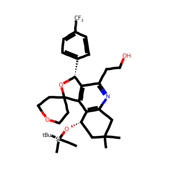 CC1(C)Cc2nc(CCO)c3c(c2[C@@H](O[Si](C)(C)C(C)(C)C)C1)C1(CCOCC1)O[C@@H]3c1ccc(C(F)(F)F)cc1